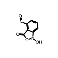 O=Nc1cccc2c1c(=O)on2O